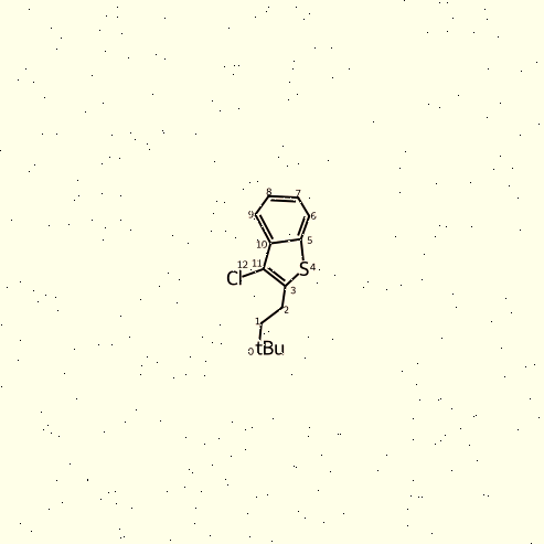 CC(C)(C)CCc1sc2ccccc2c1Cl